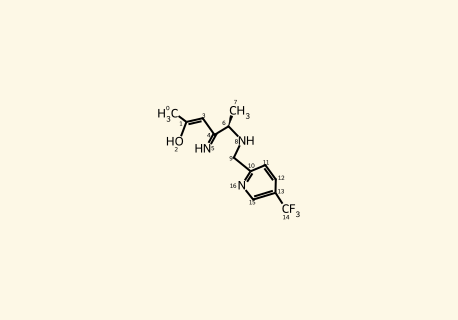 C/C(O)=C/C(=N)[C@@H](C)NCc1ccc(C(F)(F)F)cn1